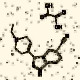 CCN1CC=C(c2c[nH]c3ccc(C#N)cc23)CC1.O=C(O)C(=O)O